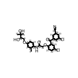 Cc1cc(OC[C@@H](O)C(C)(C)O)ccc1NC(=O)COc1ccc(Cl)cc1C(=O)c1cc(Cl)cc(C#N)c1